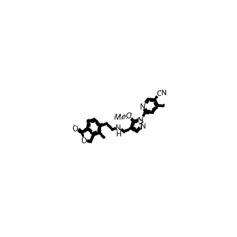 COc1c(CNCCc2ccc3c(c2C)COC3=O)cnn1-c1cc(C)c(C#N)cn1